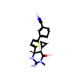 CN1C(=N)N[C@](C)(c2ccc(-c3cccc(C#N)c3)s2)[C@@H](C2CC2)C1=O